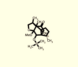 COC12OCC3(C)C4(O)CC[C@H](C)C4(CC(=O)C13C)C2O[Si](C)(C)C